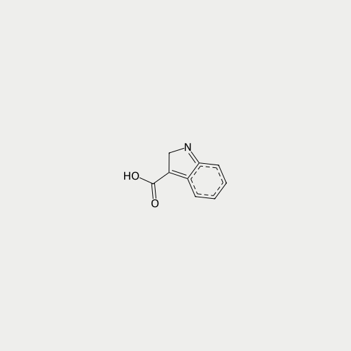 O=C(O)C1=c2ccccc2=NC1